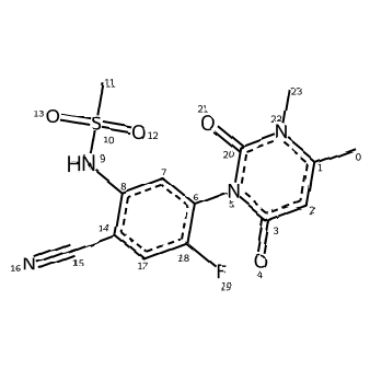 Cc1cc(=O)n(-c2cc(NS(C)(=O)=O)c(C#N)cc2F)c(=O)n1C